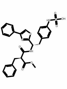 COC(=O)[C@@H](Cc1ccccc1)C(=O)N[C@@H](Cc1ccc(NS(=O)(=O)O)cc1)c1nc(-c2ccccc2)cs1